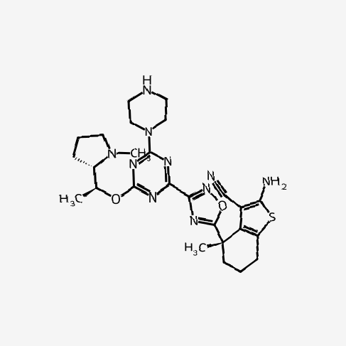 C[C@H](Oc1nc(-c2noc([C@@]3(C)CCCc4sc(N)c(C#N)c43)n2)nc(N2CCNCC2)n1)[C@@H]1CCCN1C